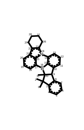 CC1(C)c2ccccc2C2c3cccc4c3B(c3cccc5c6c(n-4c35)CCCC6)C21C